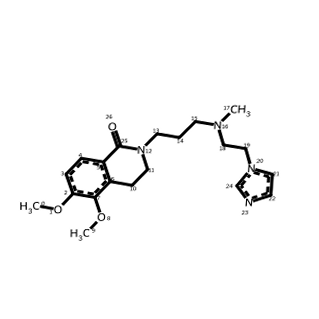 COc1ccc2c(c1OC)CCN(CCCN(C)CCn1ccnc1)C2=O